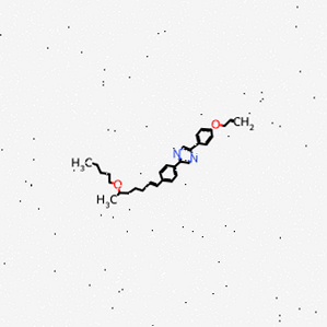 C=CCOc1ccc(-c2cnc(-c3ccc(C=CCCCC(C)OCCCCC)cc3)cn2)cc1